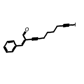 O=C/C(C#CCCCCC#CI)=C\c1ccccc1